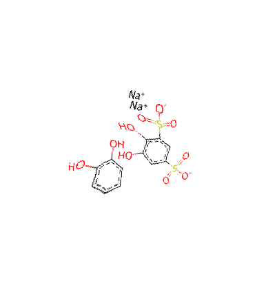 O=S(=O)([O-])c1cc(O)c(O)c(S(=O)(=O)[O-])c1.Oc1ccccc1O.[Na+].[Na+]